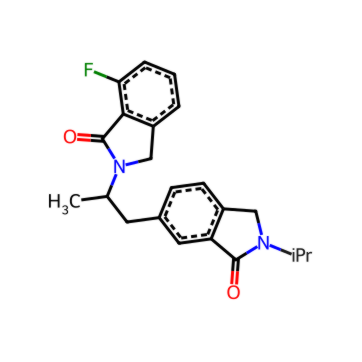 CC(C)N1Cc2ccc(CC(C)N3Cc4cccc(F)c4C3=O)cc2C1=O